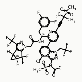 CC(C)(C#Cc1ccc(-c2ccc(Cl)c3c(N(C(=O)Cl)S(C)(=O)=O)nn(CC(F)(F)F)c23)c([C@H](Cc2cc(F)cc(F)c2)NC(=O)Cn2nc(C(F)(F)F)c3c2C(F)(F)[C@@H]2C[C@H]32)n1)S(C)(=O)=O